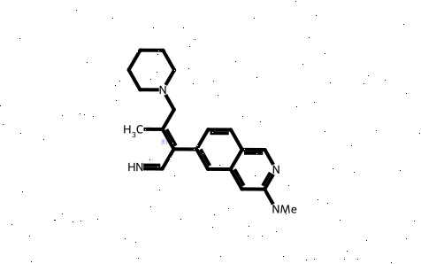 CNc1cc2cc(/C(C=N)=C(/C)CN3CCCCC3)ccc2cn1